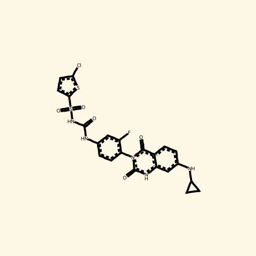 O=C(Nc1ccc(-n2c(=O)[nH]c3cc(NC4CC4)ccc3c2=O)c(F)c1)NS(=O)(=O)c1ccc(Cl)s1